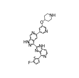 Fc1ccc(-c2nccc3[nH]c(-c4n[nH]c5cnc(-c6cncc(OC7CCNCC7)c6)cc45)nc23)s1